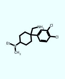 CCN(C)C1CCC(CN)(c2ccc(Cl)c(Cl)c2)CC1